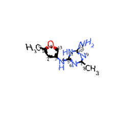 Cc1cc(NC2=NC(C)N=C(N)N2)co1